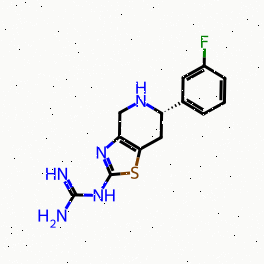 N=C(N)Nc1nc2c(s1)C[C@@H](c1cccc(F)c1)NC2